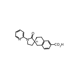 O=C(O)c1ccc2c(c1)CC[C@]1(CCN(c3ccccn3)C1=O)C2